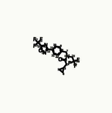 O=C(CC1CC1)N(Cc1ccc(-c2noc(C(F)(F)F)n2)cc1)CC(F)(F)F